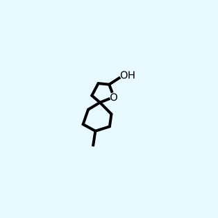 CC1CCC2(CC1)CCC(O)O2